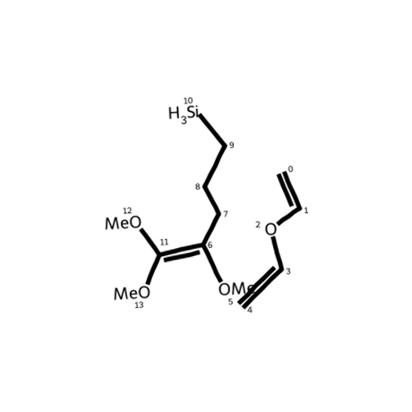 C=COC=C.COC(CCC[SiH3])=C(OC)OC